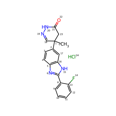 CC1(c2ccc3nc(-c4ccccc4F)[nH]c3c2)C=NNC(=O)C1.Cl